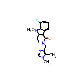 Cc1c(CN2CCc3c(c4cccc(F)c4n3C)C2=O)ncn1C